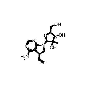 C=CC1CN(C2OC(CO)[C@@H](O)C2(C)O)c2ncnc(N)c21